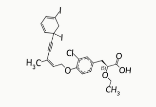 CCO[C@@H](Cc1ccc(OCC=C(C)C#CC2(I)C=CC=C(I)C2)c(Cl)c1)C(=O)O